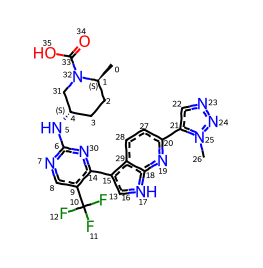 C[C@H]1CC[C@H](Nc2ncc(C(F)(F)F)c(-c3c[nH]c4nc(-c5cnnn5C)ccc34)n2)CN1C(=O)O